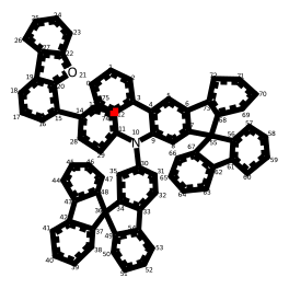 c1ccc(-c2cc3c(cc2N(c2ccc(-c4cccc5c4oc4ccccc45)cc2)c2ccc4c(c2)C2(c5ccccc5-c5ccccc52)c2ccccc2-4)C2(c4ccccc4-c4ccccc42)c2ccccc2-3)cc1